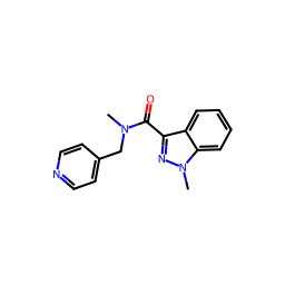 CN(Cc1ccncc1)C(=O)c1nn(C)c2ccccc12